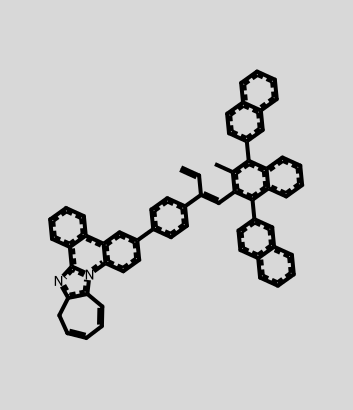 C=C/C(=C\c1c(C)c(-c2ccc3ccccc3c2)c2ccccc2c1-c1ccc2ccccc2c1)c1ccc(-c2ccc3c(c2)c2ccccc2c2nc4c(n32)C=CC=CC4)cc1